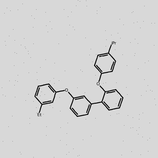 CCc1cccc(Oc2cccc(-c3ccccc3Oc3ccc(C(C)C)cc3)c2)c1